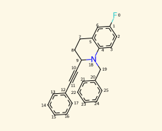 Fc1ccc2c(c1)CCC(C#Cc1ccccc1)N2Cc1ccccc1